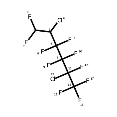 FC(F)C(Cl)C(F)(F)C(F)(F)C(F)(Cl)C(F)(F)F